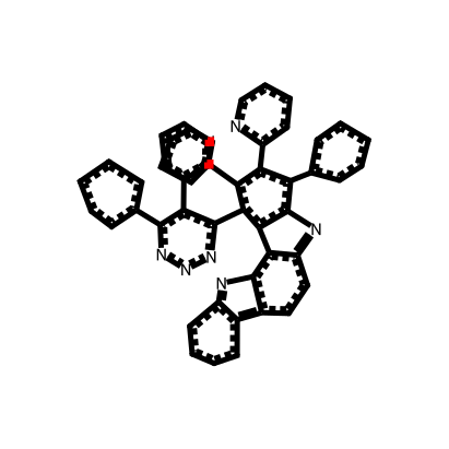 c1ccc(-c2nnnc(-c3c4c(c(-c5ccccc5)c(-c5ccccn5)c3-c3ccccn3)N=c3ccc5c(c3-4)N=c3ccccc3=5)c2-c2ccccc2)cc1